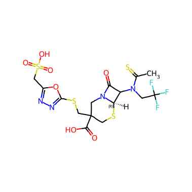 CC(=S)N(CC(F)(F)F)C1C(=O)N2CC(CSc3nnc(CS(=O)(=O)O)o3)(C(=O)O)CS[C@H]12